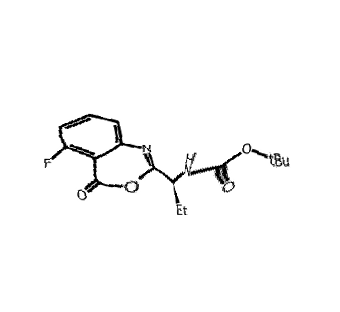 CC[C@H](NC(=O)OC(C)(C)C)c1nc2cccc(F)c2c(=O)o1